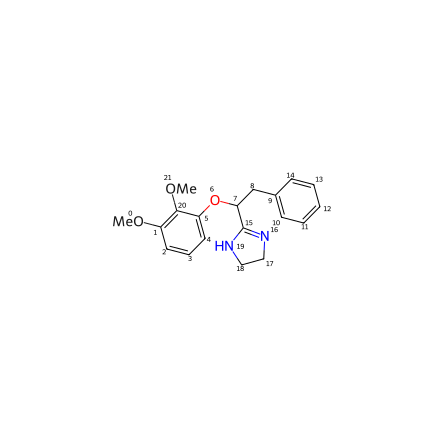 COc1cccc(OC(Cc2ccccc2)C2=NCCN2)c1OC